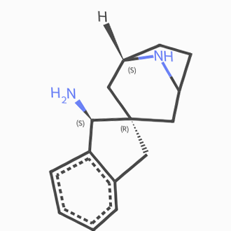 N[C@@H]1c2ccccc2C[C@]12CC1CC[C@@H](C2)N1